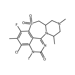 Cc1c(F)c2c3c(nc(=O)n(I)c3c1Cl)N1C(C)CN(C)CC1CS2(=O)=O